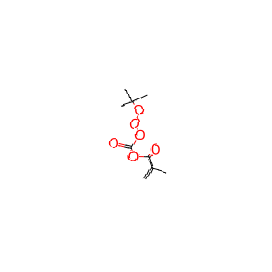 C=C(C)C(=O)OC(=O)OOOC(C)(C)C